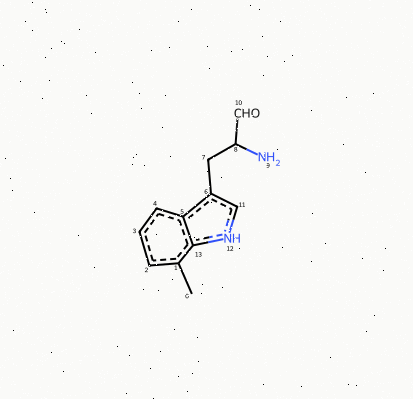 Cc1cccc2c(CC(N)C=O)c[nH]c12